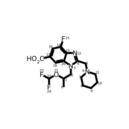 CC(Cn1c(CN2CCCCC2)nc2c(F)cc(C(=O)O)cc21)OC(F)F